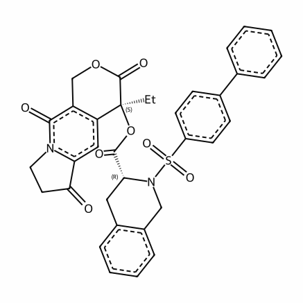 CC[C@@]1(OC(=O)[C@H]2Cc3ccccc3CN2S(=O)(=O)c2ccc(-c3ccccc3)cc2)C(=O)OCc2c1cc1n(c2=O)CCC1=O